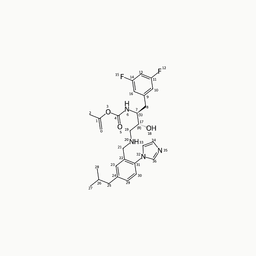 C=C(C)OC(=O)N[C@@H](Cc1cc(F)cc(F)c1)[C@H](O)CNCc1cc(CC(C)C)ccc1-n1ccnc1